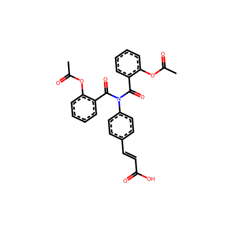 CC(=O)Oc1ccccc1C(=O)N(C(=O)c1ccccc1OC(C)=O)c1ccc(/C=C/C(=O)O)cc1